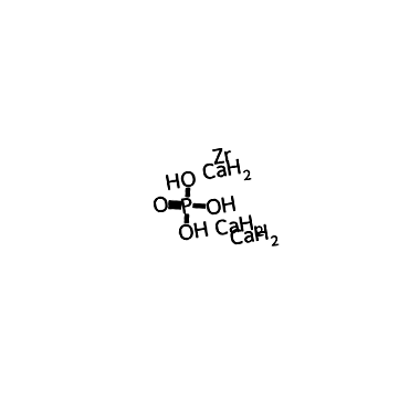 O=P(O)(O)O.[CaH2].[CaH2].[CaH2].[Zr]